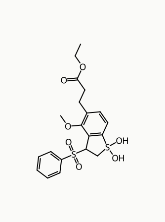 CCOC(=O)CCc1ccc2c(c1OC)C(S(=O)(=O)c1ccccc1)CS2(O)O